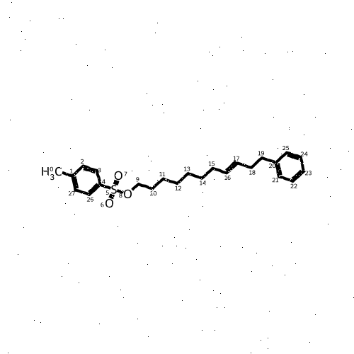 Cc1ccc(S(=O)(=O)OCCCCCCC/C=C/CCc2ccccc2)cc1